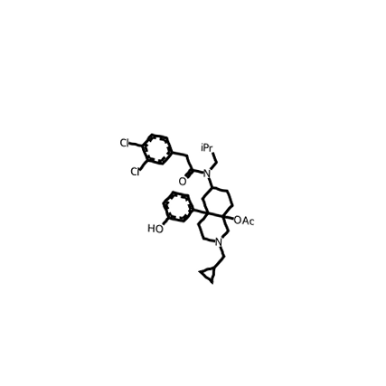 CC(=O)OC12CCC(N(CC(C)C)C(=O)Cc3ccc(Cl)c(Cl)c3)CC1(c1cccc(O)c1)CCN(CC1CC1)C2